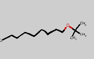 [Li][CH2]CCCCCCCOC(C)(C)C